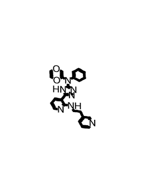 C1=CCCC(N(C2=COC=CO2)c2nnc(-c3cccnc3NCCc3cccnc3)[nH]2)=C1